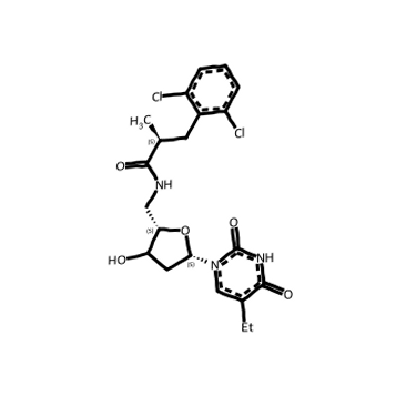 CCc1cn([C@@H]2CC(O)[C@H](CNC(=O)[C@@H](C)Cc3c(Cl)cccc3Cl)O2)c(=O)[nH]c1=O